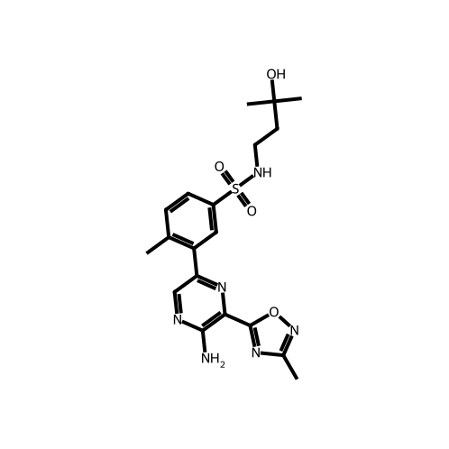 Cc1noc(-c2nc(-c3cc(S(=O)(=O)NCCC(C)(C)O)ccc3C)cnc2N)n1